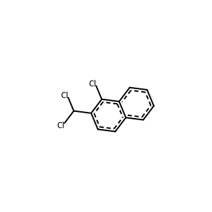 Clc1c(C(Cl)Cl)ccc2ccccc12